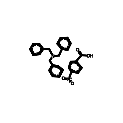 O=C(O)c1ccc([N+](=O)[O-])cc1.c1ccc(CN(Cc2ccccc2)Cc2ccccc2)cc1